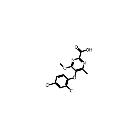 COc1nc(C(=O)O)nc(C)c1Oc1ccc(Cl)cc1Cl